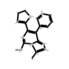 CNc1nc(C2=NCCO2)c(-c2cccnc2)c2nnc(C)n12